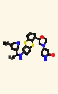 Cc1cncc(C(C)Nc2ccc3c(c2)Sc2cccc(C4CN(c5cc[nH]c(=O)c5)CCO4)c2S3)c1